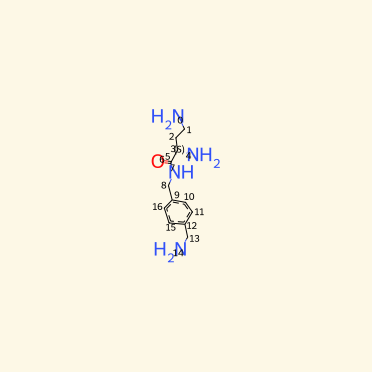 NCC[C@H](N)C(=O)NCc1ccc(CN)cc1